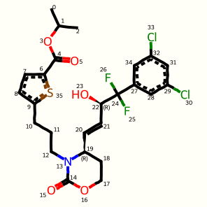 CC(C)OC(=O)c1ccc(CCCN2C(=O)OCC[C@@H]2C=C[C@@H](O)C(F)(F)c2cc(Cl)cc(Cl)c2)s1